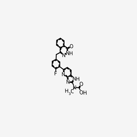 CN(C(=O)O)c1nc2nc(-c3cc(Cc4n[nH]c(=O)c5ccccc45)ccc3F)ccc2[nH]1